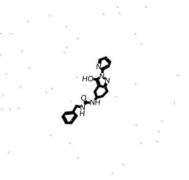 O=C(NCc1ccccc1)NC1CCc2nn(-c3ccccn3)c(O)c2C1